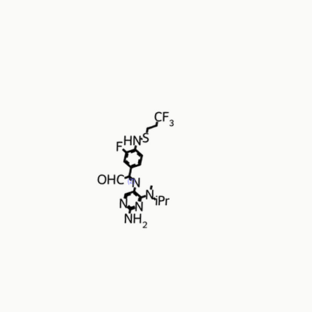 CC(C)N(C)c1nc(N)ncc1/N=C(\C=O)c1ccc(NSCCC(F)(F)F)c(F)c1